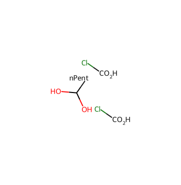 CCCCCC(O)O.O=C(O)Cl.O=C(O)Cl